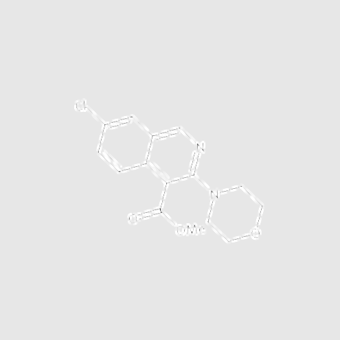 COC(=O)c1c(N2CCOCC2)ncc2cc(Cl)ccc12